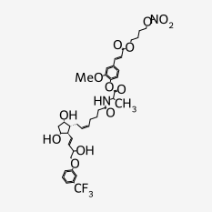 COc1cc(/C=C/C(=O)OCCCCO[N+](=O)[O-])ccc1OC(=O)C(C)NC(=O)CCC/C=C\C[C@@H]1[C@@H](/C=C/[C@@H](O)COc2cccc(C(F)(F)F)c2)[C@H](O)C[C@@H]1O